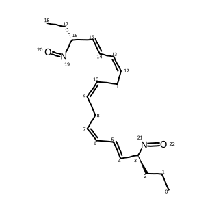 CCC[C@@H](/C=C/C=C\C/C=C\C/C=C\C=C\[C@@H](CC)N=O)N=O